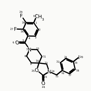 Cc1ccc(C(=O)N2CCC3(CC2)CN(Cc2ccc(I)cc2)C(=O)O3)c(F)c1F